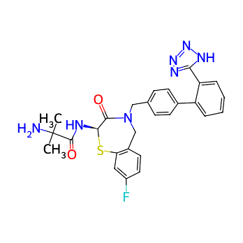 CC(C)(N)C(=O)N[C@@H]1Sc2cc(F)ccc2CN(Cc2ccc(-c3ccccc3-c3nnn[nH]3)cc2)C1=O